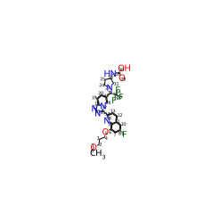 COCCCOc1cc(F)cc2ccc(-c3nnc4ccc([C@@H](N5CC[C@H](NC(=O)O)C5)C(F)(F)F)cn34)nc12